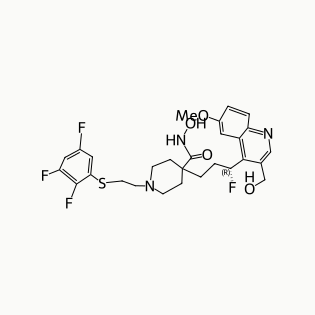 COc1ccc2ncc(CO)c([C@H](F)CCC3(C(=O)NO)CCN(CCSc4cc(F)cc(F)c4F)CC3)c2c1